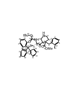 COC(=O)C1(Cc2ccccc2C)CCNCC1C(=O)[C@H](CSC(c1ccccc1)(c1ccccc1)c1ccccc1)NC(=O)OC(C)(C)C